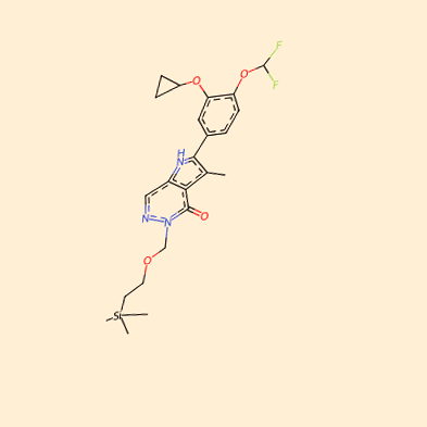 Cc1c(-c2ccc(OC(F)F)c(OC3CC3)c2)[nH]c2cnn(COCC[Si](C)(C)C)c(=O)c12